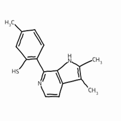 Cc1ccc(-c2nccc3c(C)c(C)[nH]c23)c(S)c1